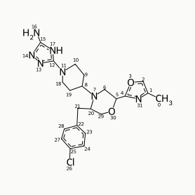 Cc1coc(C2CN(C3CCN(c4nnc(N)[nH]4)CC3)C(Cc3ccc(Cl)cc3)CO2)n1